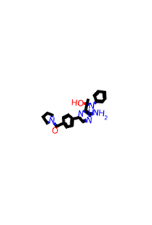 CC(O)(Nc1ccccc1)c1nc(-c2ccc(C(=O)N3CCCC3)cc2)cnc1N